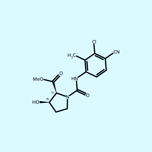 COC(=O)[C@@H]1[C@H](O)CCN1C(=O)Nc1ccc(C#N)c(Cl)c1C